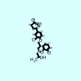 CC(O)CN(CCCOc1ccc(C2=NNC(=O)CC2)cc1Cl)Oc1ccccc1Cl